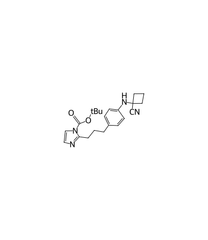 CC(C)(C)OC(=O)n1ccnc1CCCc1ccc(NC2(C#N)CCC2)cc1